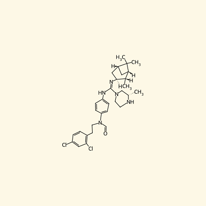 C[C@@H]1[C@@H](/N=C(/Nc2ccc(N(C=O)CCc3ccc(Cl)cc3Cl)cc2)N2CCN[C@@H](C)C2)C[C@H]2C[C@@H]1C2(C)C